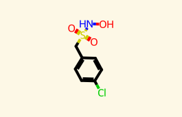 O=S(=O)(Cc1ccc(Cl)cc1)NO